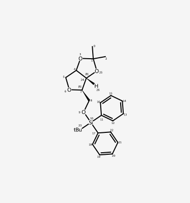 CC1(C)OC2CO[C@H](CO[Si](c3ccccc3)(c3ccccc3)C(C)(C)C)[C@H]2O1